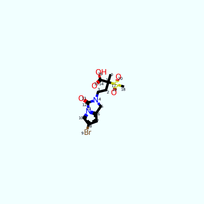 CC(CCN1Cc2cc(Br)cn2C1=O)(C(=O)O)S(C)(=O)=O